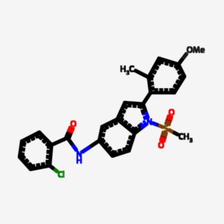 COc1ccc(-c2cc3cc(NC(=O)c4ccccc4Cl)ccc3n2S(C)(=O)=O)c(C)c1